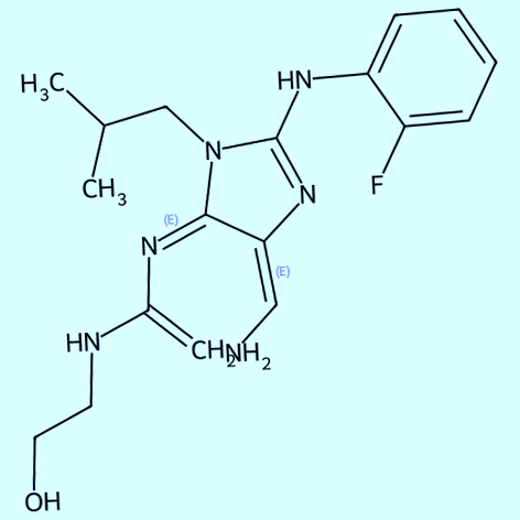 C=C(/N=C1\C(=C/N)N=C(Nc2ccccc2F)N1CC(C)C)NCCO